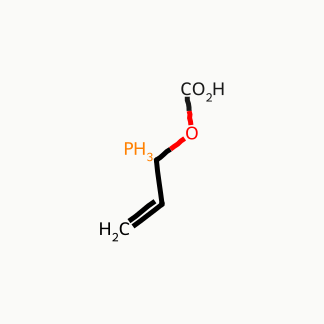 C=CCOC(=O)O.P